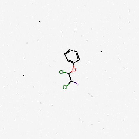 ClC(I)C(Cl)Oc1ccccc1